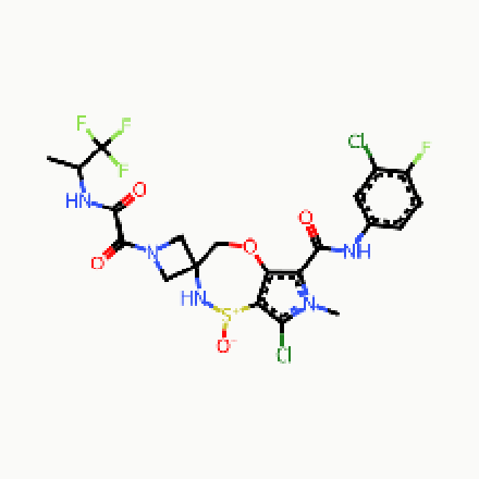 CC(NC(=O)C(=O)N1CC2(COc3c(c(Cl)n(C)c3C(=O)Nc3ccc(F)c(Cl)c3)[S+]([O-])N2)C1)C(F)(F)F